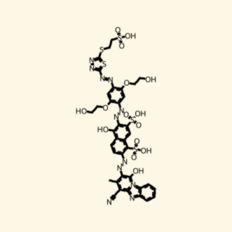 Cc1c(N=Nc2ccc3c(O)c(N=Nc4cc(OCCO)c(N=Nc5nnc(SCCS(=O)(=O)O)s5)cc4OCCO)c(S(=O)(=O)O)cc3c2S(=O)(=O)O)c(O)n2c(nc3ccccc32)c1C#N